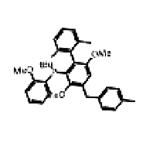 COc1ccccc1P(c1c(OC)c(Cc2ccc(C)cc2)cc(OC)c1-c1c(C)cccc1C)C(C)(C)C